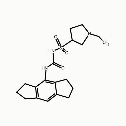 O=C(Nc1c2c(cc3c1CCC3)CCC2)NS(=O)(=O)C1CCN(CC(F)(F)F)C1